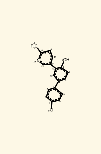 Oc1ccc(-c2ccc(Cl)cc2)cc1-c1ccc(C(F)(F)F)nc1